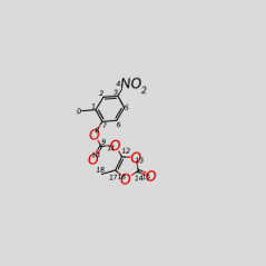 Cc1cc([N+](=O)[O-])ccc1OC(=O)Oc1oc(=O)oc1C